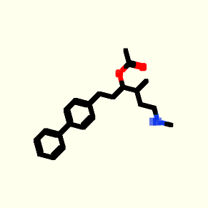 CNCCC(C)C(CCc1ccc(-c2ccccc2)cc1)OC(C)=O